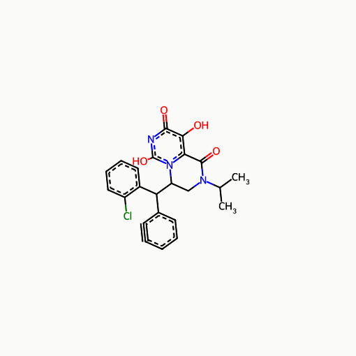 CC(C)N1CC(C(c2c#cccc2)c2ccccc2Cl)n2c(O)nc(=O)c(O)c2C1=O